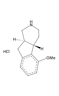 COc1cccc2c1[C@H]1CCNC[C@@H]1C2.Cl